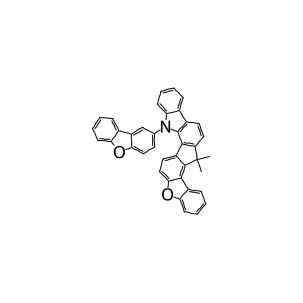 CC1(C)c2ccc3c4ccccc4n(-c4ccc5oc6ccccc6c5c4)c3c2-c2ccc3oc4ccccc4c3c21